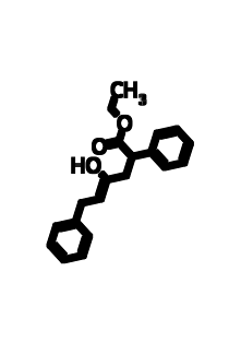 CCOC(=O)C(CC(O)=CCc1ccccc1)c1ccccc1